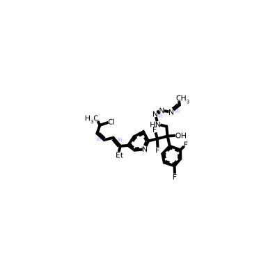 C/C=N\N=N/NCC(O)(c1ccc(F)cc1F)C(F)(F)c1ccc(/C(=C/C=C\C(C)Cl)CC)cn1